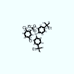 CCC(C)(C)c1ccc([I+]c2ccc(C(C)(C)CC)cc2)cc1.O=S(=O)([O-])c1cc(Cl)ccc1Cl